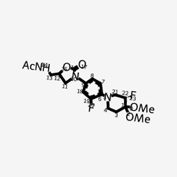 COC1(OC)CCN(c2ccc(N3CC(CNC(C)=O)OC3=O)cc2F)C[C@@H]1F